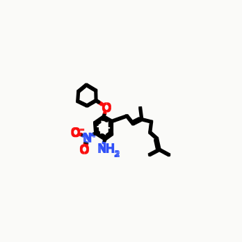 CC(C)=CCC/C(C)=C/Cc1cc(N)c([N+](=O)[O-])cc1OC1CCCCC1